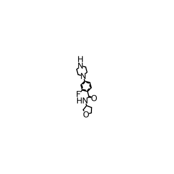 O=C(NC1CCOC1)c1ccc(N2CCNCC2)cc1F